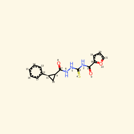 O=C(NC(=S)NNC(=O)C1C[C@H]1c1ccccc1)c1ccco1